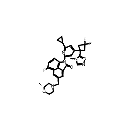 C[C@@H]1CN(Cc2cc3c4c(ccc(F)c4c2)N(c2cc(C4(c5nncn5C)CC(F)(F)C4)cc(C4CC4)n2)C3=O)CCO1